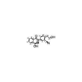 N#Cc1cc(NC(=O)c2ccccc2C(=O)O)ccc1CCO